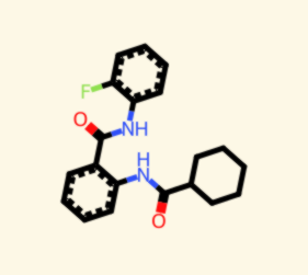 O=C(Nc1ccccc1F)c1ccccc1NC(=O)C1CCCCC1